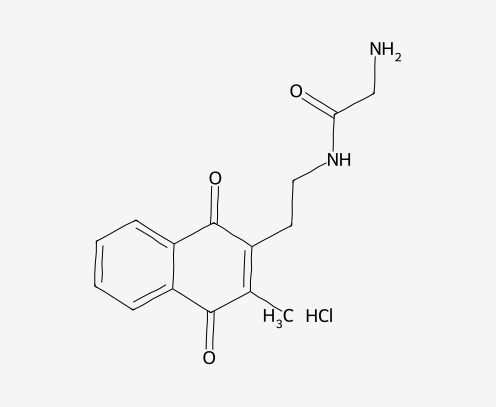 CC1=C(CCNC(=O)CN)C(=O)c2ccccc2C1=O.Cl